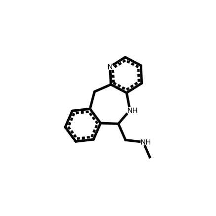 CNCC1Nc2cccnc2Cc2ccccc21